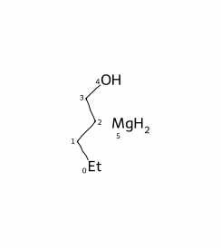 CCCCCO.[MgH2]